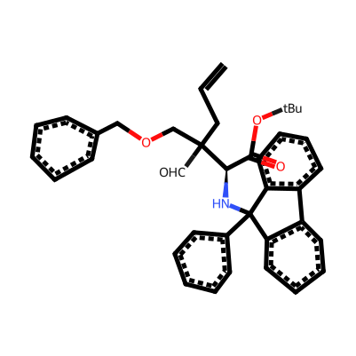 C=CCC(C=O)(COCc1ccccc1)[C@H](NC1(c2ccccc2)c2ccccc2-c2ccccc21)C(=O)OC(C)(C)C